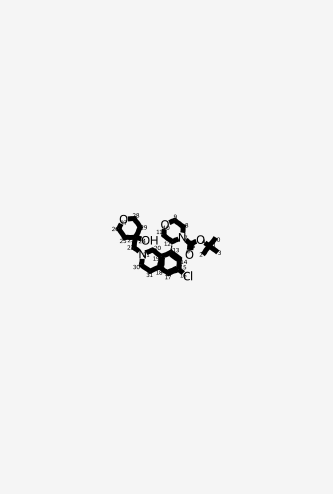 CC(C)(C)OC(=O)N1CCOC[C@H]1c1cc(Cl)cc2c1CN(CC1(O)CCOCC1)CC2